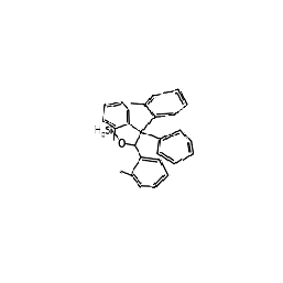 Cc1ccccc1C(O[SiH3])C(c1ccccc1)(c1ccccc1C)c1ccccc1C